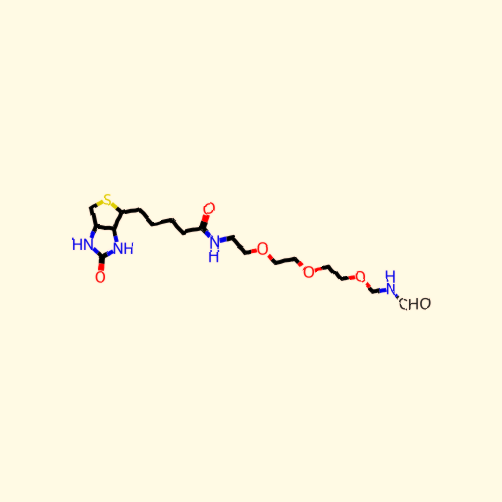 O=CNCOCCOCCOCCNC(=O)CCCCC1SCC2NC(=O)NC21